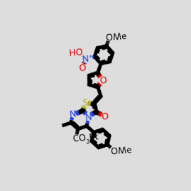 CCOC(=O)C1=C(C)N=c2s/c(=C\c3ccc(-c4ccc(OC)cc4[N+](=O)O)o3)c(=O)n2C1c1ccc(OC)cc1